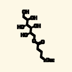 CCCCCCCCCCCCCC(=O)OC[C@H](O)[C@@H](O)[C@H](O)[C@H](O)CO